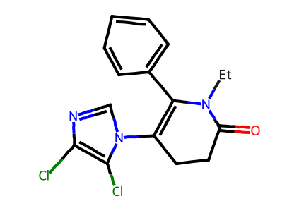 CCN1C(=O)CCC(n2cnc(Cl)c2Cl)=C1c1ccccc1